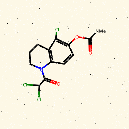 CNC(=O)Oc1ccc2c(c1Cl)CCCN2C(=O)C(Cl)Cl